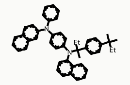 CCC(C)(C)c1ccc(C(C)(CC)N(c2ccc(N(c3ccccc3)c3ccc4ccccc4c3)cc2)c2cccc3ccccc23)cc1